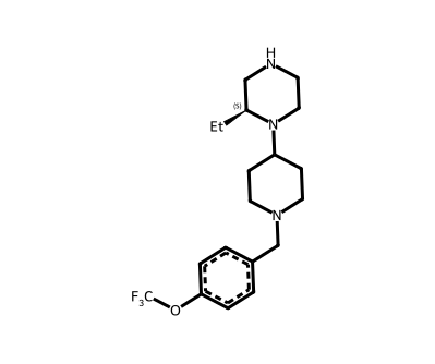 CC[C@H]1CNCCN1C1CCN(Cc2ccc(OC(F)(F)F)cc2)CC1